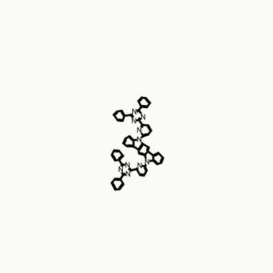 c1ccc(-c2nc(-c3ccccc3)nc(-c3cccc(-n4c5ccccc5c5cc6c(cc54)c4ccccc4n6-c4cccc(-c5nc(-c6ccccc6)nc(-c6ccccc6)n5)n4)n3)n2)cc1